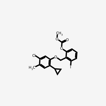 COC(=O)Oc1cccc(I)c1COc1cc(Cl)c(C)cc1C1CC1